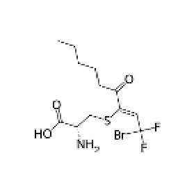 CCCCCC(=O)/C(=C/C(F)(F)Br)SC[C@H](N)C(=O)O